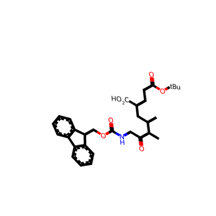 CC(CC(CCC(=O)OC(C)(C)C)C(=O)O)C(C)C(=O)CNC(=O)OCC1c2ccccc2-c2ccccc21